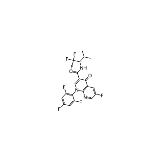 CC(C)C(NC(=O)c1cn(-c2c(F)cc(F)cc2F)c2ncc(F)cc2c1=O)C(F)(F)F